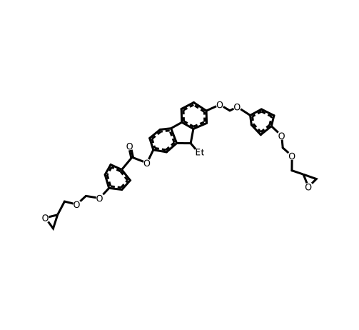 CCC1c2cc(OCOc3ccc(OCOCC4CO4)cc3)ccc2-c2ccc(OC(=O)c3ccc(OCOCC4CO4)cc3)cc21